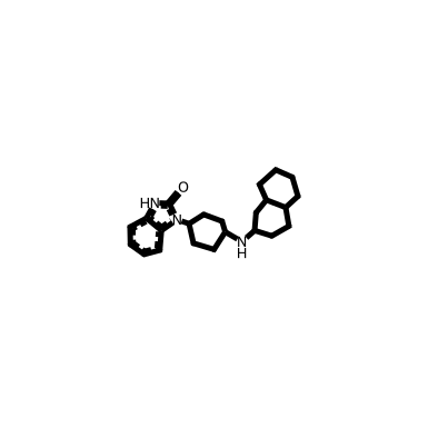 O=c1[nH]c2ccccc2n1C1CCC(NC2CCC3CCCCC3C2)CC1